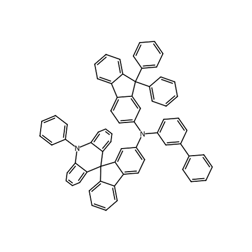 c1ccc(-c2cccc(N(c3ccc4c(c3)C(c3ccccc3)(c3ccccc3)c3ccccc3-4)c3ccc4c(c3)C3(c5ccccc5-4)c4ccccc4N(c4ccccc4)c4ccccc43)c2)cc1